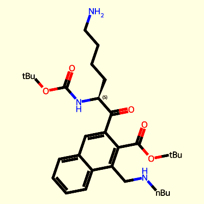 CCCCNCc1c(C(=O)OC(C)(C)C)c(C(=O)[C@H](CCCCN)NC(=O)OC(C)(C)C)cc2ccccc12